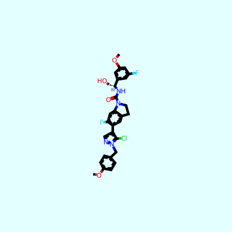 COc1ccc(Cn2ncc(-c3cc4c(cc3F)N(C(=O)N[C@H](CO)c3cc(F)cc(OC)c3)CC4)c2Cl)cc1